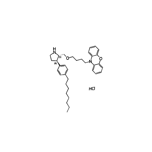 CCCCCCCCc1ccc([C@H]2CCN[C@@H]2COCCCCN2c3ccccc3Oc3ccccc32)cc1.Cl